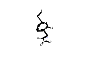 C/C(=C\c1ccc(CI)cc1Cl)[N+](=O)[O-]